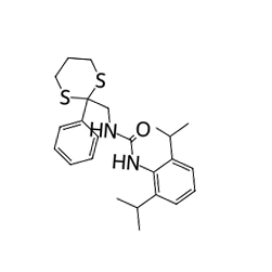 CC(C)c1cccc(C(C)C)c1NC(=O)NCC1(c2ccccc2)SCCCS1